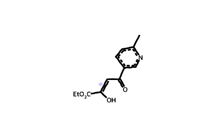 CCOC(=O)/C(O)=C/C(=O)c1ccc(C)nc1